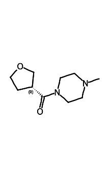 CN1CCN(C(=O)[C@@H]2CCOC2)CC1